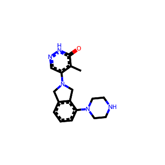 Cc1c(N2Cc3cccc(N4CCNCC4)c3C2)cn[nH]c1=O